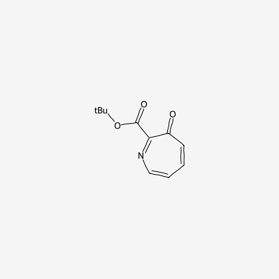 CC(C)(C)OC(=O)c1nccccc1=O